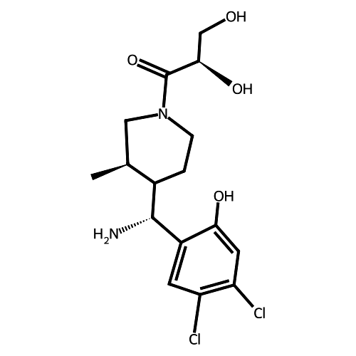 C[C@H]1CN(C(=O)[C@H](O)CO)CCC1[C@@H](N)c1cc(Cl)c(Cl)cc1O